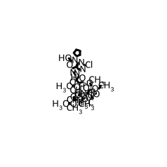 CCOP(=O)(OCC)[C@](COC)(OC[C@H]1O[C@@H](n2ncc3c(N(C(=O)O)C4CCCC4)nc(Cl)nc32)[C@@H]2OC(C)(C)O[C@@H]21)C(=O)NS(=O)(=O)N(C)C(=O)OC(C)(C)C